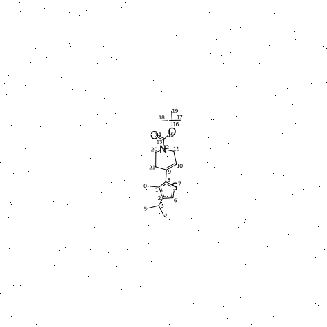 Cc1c(C(C)C)csc1C1=CCN(C(=O)OC(C)(C)C)CC1